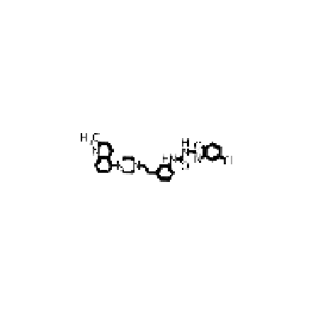 Cc1ccc2c(N3CCN(CCc4cccc(NC(=O)Nc5nc6cc(Cl)ccc6o5)c4)CC3)cccc2n1